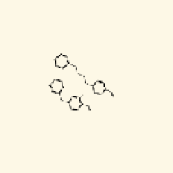 C=Cc1ccc(CCCCc2ccccc2)cc1.C=Cc1ccc(Cc2ccccc2)cc1CC